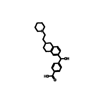 O=C(O)c1ccc(C(O)c2ccc3c(c2)CCC(CCN2CCCCC2)C3)cc1